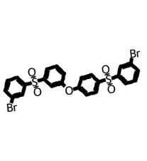 O=S(=O)(c1ccc(Oc2cccc(S(=O)(=O)c3cccc(Br)c3)c2)cc1)c1cccc(Br)c1